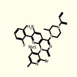 Bc1cc2c(nc1-c1c(C)cccc1F)N(c1c(SC)cc(C)nc1Br)C(=C)N=C2N1CCN(C(=C)C=C)CC1C